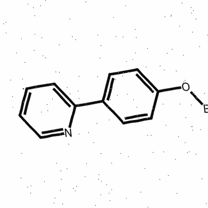 CCOc1ccc(-c2c[c]ccn2)cc1